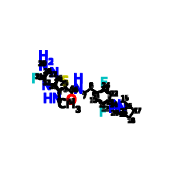 CNc1c(C(=O)NCCc2cc(F)c(N3CC4CCC(C3)N4)cc2F)sc2nc(N)c(F)nc12